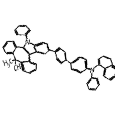 CC1(C)c2ccccc2-c2c(n(-c3ccccc3)c3ccc(-c4ccc(-c5ccc(N(c6ccccc6)c6cccc7ccccc67)cc5)cc4)cc23)-c2ccccc21